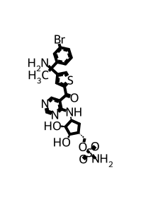 CC(N)(c1cccc(Br)c1)c1csc(C(=O)c2cncnc2N[C@@H]2C[C@H](COS(N)(=O)=O)[C@@H](O)[C@H]2O)c1